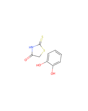 O=C1CSC(=S)N1.Oc1ccccc1O